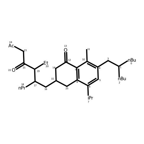 CCCCC(CCCC)Cc1cc(C(C)C)c2c(c1C)C(=O)CC(CC(CCC)C(CC)C(=O)CC(C)=O)C2